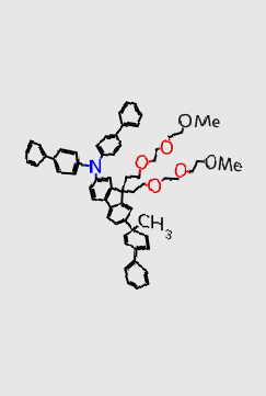 COCCOCCOCCC1(CCOCCOCCOC)c2cc(N(c3ccc(-c4ccccc4)cc3)c3ccc(-c4ccccc4)cc3)ccc2-c2ccc(C3(C)C=CC(c4ccccc4)=CC3)cc21